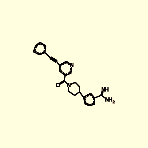 N=C(N)c1cccc(C2CCN(C(=O)c3cncc(C#Cc4ccccc4)c3)CC2)c1